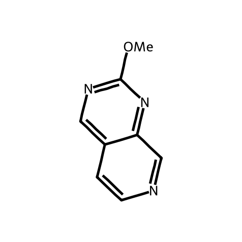 COc1ncc2ccncc2n1